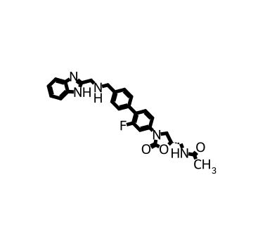 CC(=O)NC[C@H]1CN(c2ccc(-c3ccc(CNCc4nc5ccccc5[nH]4)cc3)c(F)c2)C(=O)O1